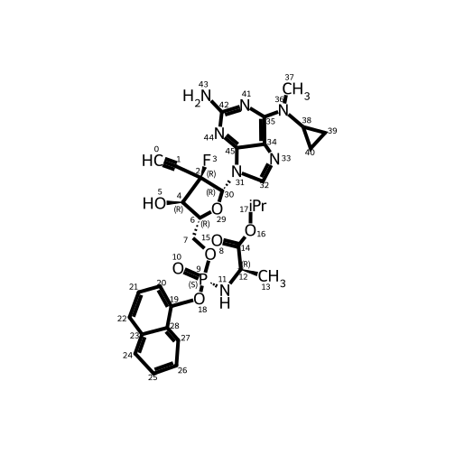 C#C[C@@]1(F)[C@H](O)[C@@H](CO[P@@](=O)(N[C@H](C)C(=O)OC(C)C)Oc2cccc3ccccc23)O[C@H]1n1cnc2c(N(C)C3CC3)nc(N)nc21